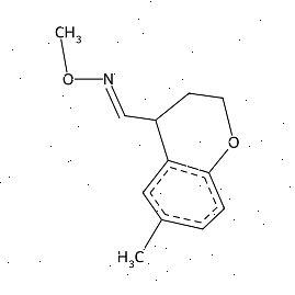 CON=CC1CCOc2ccc(C)cc21